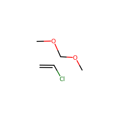 C=CCl.COCOC